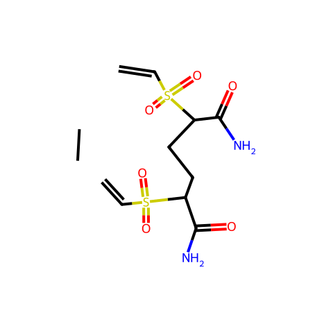 C=CS(=O)(=O)C(CCC(C(N)=O)S(=O)(=O)C=C)C(N)=O.CC